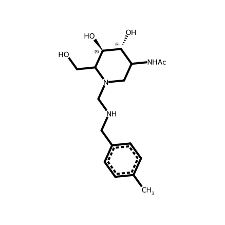 CC(=O)NC1CN(CNCc2ccc(C)cc2)C(CO)[C@@H](O)[C@@H]1O